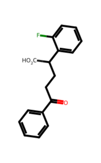 O=C(CCC(C(=O)O)c1ccccc1F)c1ccccc1